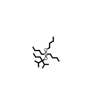 CCCCO[Si](CCCC)(CCCC)OC(CCC)(C(C)C)C(C)C